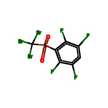 O=S(=O)(c1c(F)c(F)cc(F)c1F)C(Br)(Br)Br